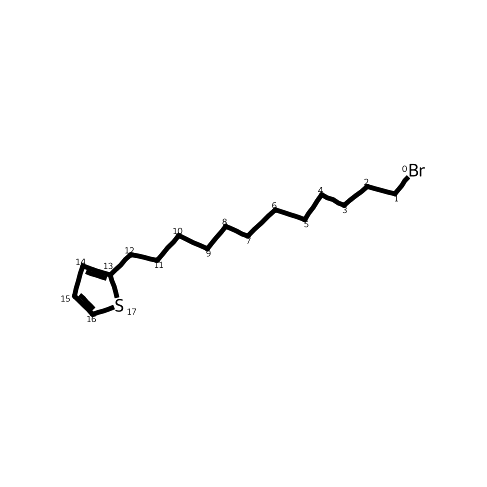 BrCCCCCCCCCCCCc1cccs1